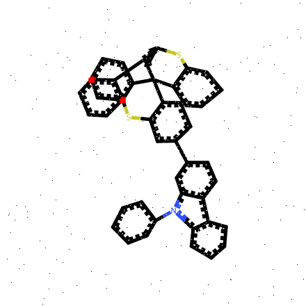 c1ccc(-c2cccc3c2C2(c4ccccc4Sc4cc(-c5ccc6c7ccccc7n(-c7ccccc7)c6c5)ccc42)c2ccccc2S3)cc1